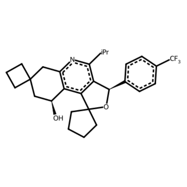 CC(C)c1nc2c(c3c1[C@@H](c1ccc(C(F)(F)F)cc1)OC31CCCC1)[C@@H](O)CC1(CCC1)C2